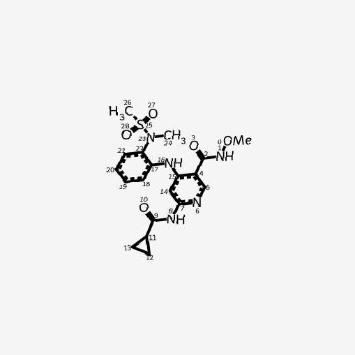 CONC(=O)c1cnc(NC(=O)C2CC2)cc1Nc1ccccc1N(C)S(C)(=O)=O